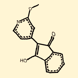 COc1cc(C2=C(O)c3ccccc3C2=O)ccn1